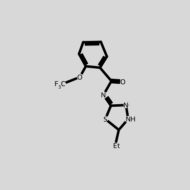 CCC1N[N]C(=NC(=O)c2ccccc2OC(F)(F)F)S1